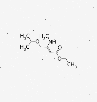 CCOC(=O)/C=C(/COC(C)C)NC